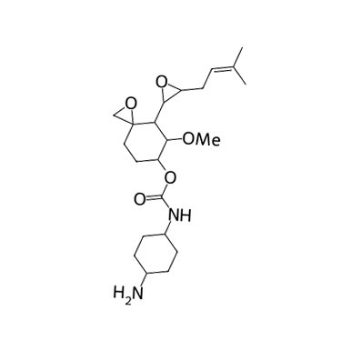 COC1C(OC(=O)NC2CCC(N)CC2)CCC2(CO2)C1C1OC1CC=C(C)C